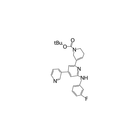 CC(C)(C)OC(=O)N1CCC=C(c2cc(-c3cccnc3)cc(Nc3cccc(F)c3)n2)C1